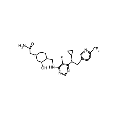 NC(=O)CN1CCC(CNc2ncnc(N(Cc3ccc(C(F)(F)F)nc3)C3CC3)c2F)C(O)C1